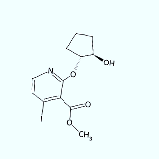 COC(=O)c1c(I)ccnc1O[C@@H]1CCC[C@H]1O